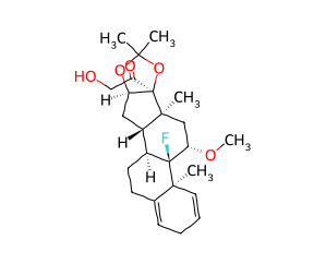 CO[C@H]1C[C@@]2(C)[C@@H](C[C@H]3OC(C)(C)O[C@]32C(=O)CO)[C@@H]2CCC3=CCC=C[C@]3(C)[C@@]12F